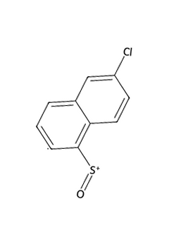 O=[S+]c1[c]ccc2cc(Cl)ccc12